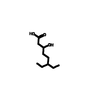 CCC(CC)CCC(O)CC(=O)O